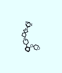 c1ccc(C2CCN(C3CCC4(C3)CN(c3cncnc3)C4)CC2)c(OC2CCOCC2)c1